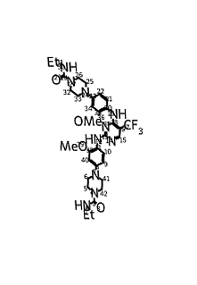 CCNC(=O)N1CCN(c2ccc(Nc3ncc(C(F)(F)F)c(Nc4ccc(N5CCN(C(=O)NCC)CC5)cc4OC)n3)c(OC)c2)CC1